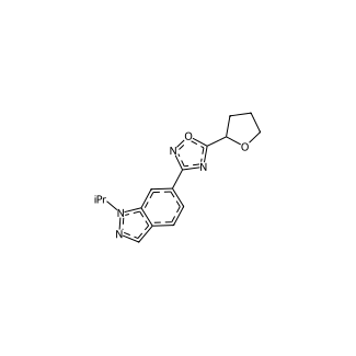 CC(C)n1ncc2ccc(-c3noc(C4CCCO4)n3)cc21